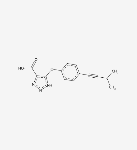 CC(C)C#Cc1ccc(Oc2[nH]nnc2C(=O)O)cc1